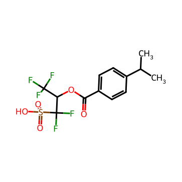 CC(C)c1ccc(C(=O)OC(C(F)(F)F)C(F)(F)S(=O)(=O)O)cc1